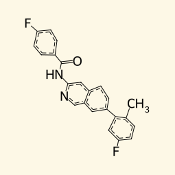 Cc1ccc(F)cc1-c1ccc2cc(NC(=O)c3ccc(F)cc3)ncc2c1